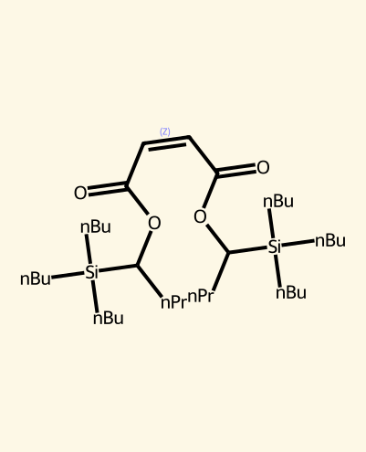 CCCC[Si](CCCC)(CCCC)C(CCC)OC(=O)/C=C\C(=O)OC(CCC)[Si](CCCC)(CCCC)CCCC